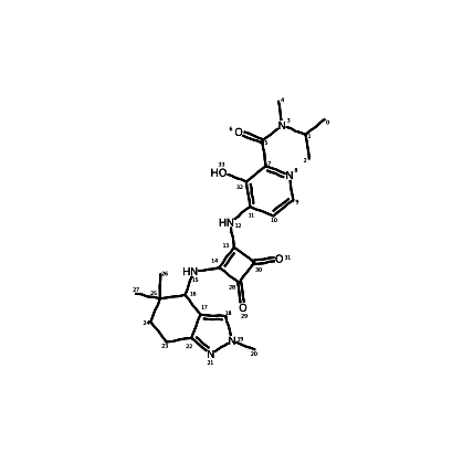 CC(C)N(C)C(=O)c1nccc(Nc2c(NC3c4cn(C)nc4CCC3(C)C)c(=O)c2=O)c1O